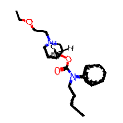 CCCCN(C(=O)O[C@H]1C[N+]2(CCOCC)CCC1CC2)c1ccccc1